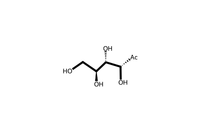 CC(=O)[C@H](O)[C@@H](O)[C@@H](O)CO